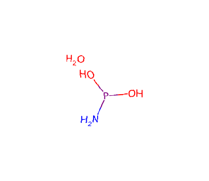 NP(O)O.O